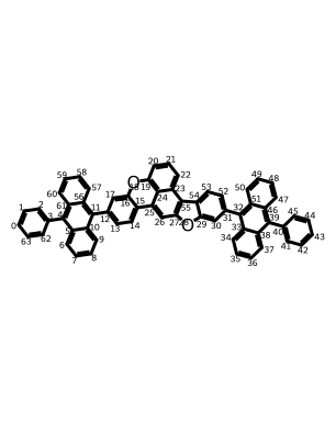 c1ccc(-c2c3ccccc3c(-c3ccc4c(c3)Oc3cccc5c3c-4cc3oc4cc(-c6c7ccccc7c(-c7ccccc7)c7ccccc67)ccc4c35)c3ccccc23)cc1